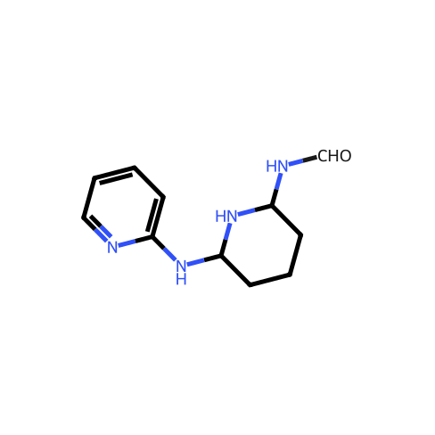 O=CNC1CCCC(Nc2ccccn2)N1